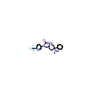 CN(C)[C@]1(c2ccccc2)CC[C@]2(CC1)CN(c1ccc(C(F)(F)F)nc1)C(=O)N2